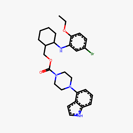 CCOc1ccc(Br)cc1NC1CCCCC1COC(=O)N1CCN(c2cccc3[nH]ccc23)CC1